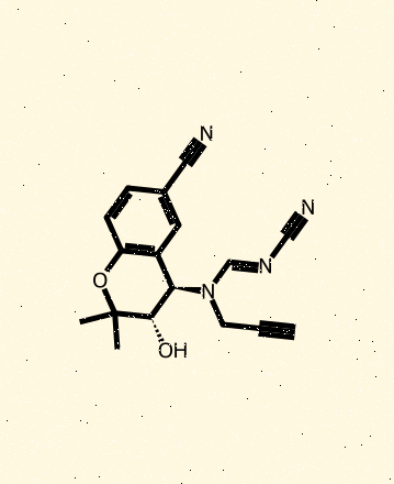 C#CCN(C=NC#N)[C@@H]1c2cc(C#N)ccc2OC(C)(C)[C@H]1O